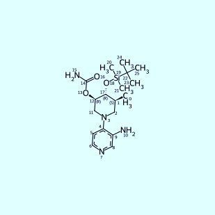 C[C@H]1CN(c2ccncc2N)C[C@@H](OC(N)=O)[C@@H]1O[Si](C)(C)C(C)(C)C